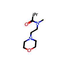 CC(C)C(=O)N(C)CCN1CCOCC1